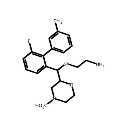 Cc1cccc(-c2c(F)cccc2C(OCCN)C2CN(C(=O)O)CCO2)c1